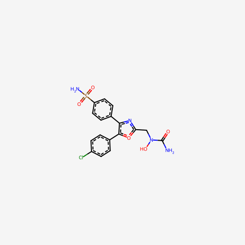 NC(=O)N(O)Cc1nc(-c2ccc(S(N)(=O)=O)cc2)c(-c2ccc(Cl)cc2)o1